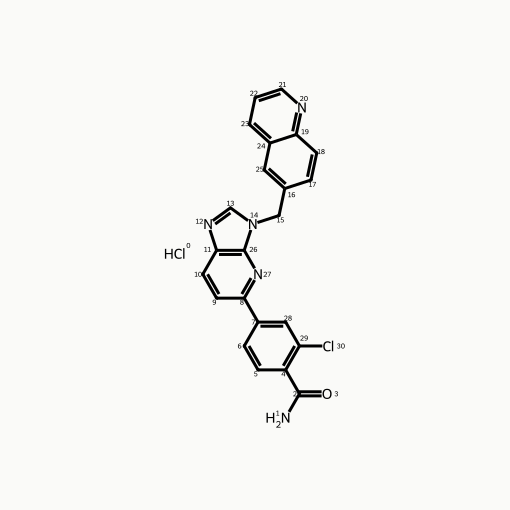 Cl.NC(=O)c1ccc(-c2ccc3ncn(Cc4ccc5ncccc5c4)c3n2)cc1Cl